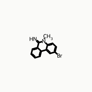 Cn1c(=N)c2ccccc2c2cc(Br)ccc21